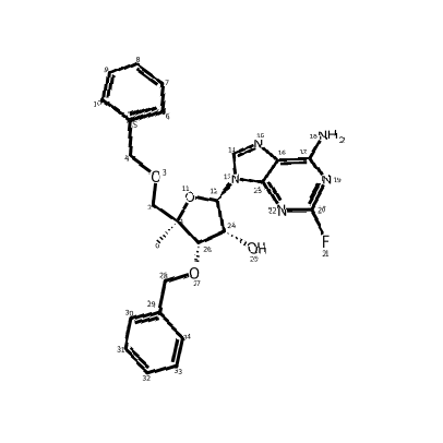 C[C@]1(COCc2ccccc2)O[C@@H](n2cnc3c(N)nc(F)nc32)[C@H](O)[C@@H]1OCc1ccccc1